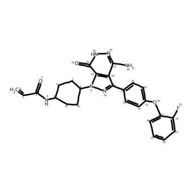 C=CC(=O)NC1CCC(n2nc(-c3ccc(Oc4ccccc4F)cc3)c3c(N)n[nH]c(=O)c32)CC1